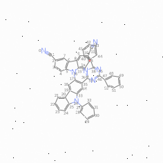 N#Cc1ccc2c(c1)c1cc(C#N)ccc1n2-c1cc2c3ccccc3n(-c3ccccc3)c2cc1-c1nc(-c2ccccc2)nc(-c2ccccc2)n1